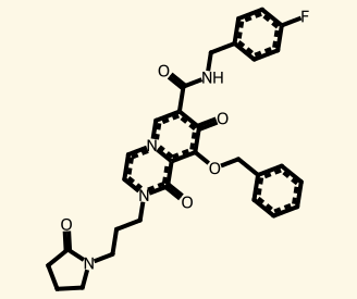 O=C(NCc1ccc(F)cc1)c1cn2ccn(CCCN3CCCC3=O)c(=O)c2c(OCc2ccccc2)c1=O